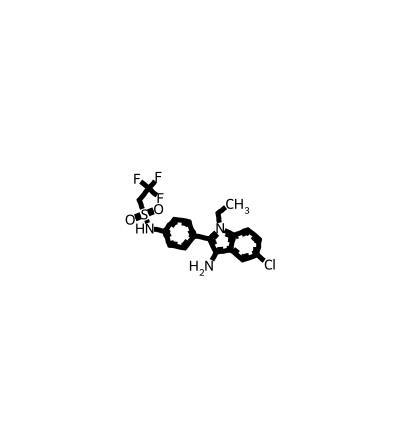 CCn1c(-c2ccc(NS(=O)(=O)CC(F)(F)F)cc2)c(N)c2cc(Cl)ccc21